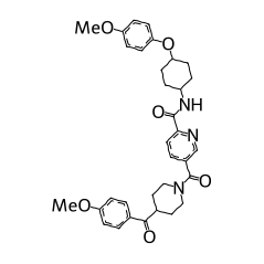 COc1ccc(OC2CCC(NC(=O)c3ccc(C(=O)N4CCC(C(=O)c5ccc(OC)cc5)CC4)cn3)CC2)cc1